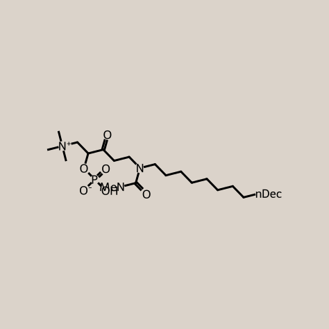 CCCCCCCCCCCCCCCCCCN(CCC(=O)C(C[N+](C)(C)C)OP(=O)([O-])O)C(=O)NC